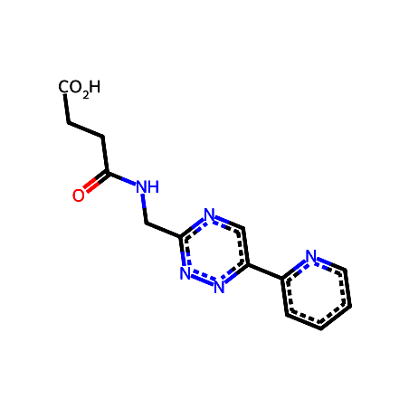 O=C(O)CCC(=O)NCc1ncc(-c2ccccn2)nn1